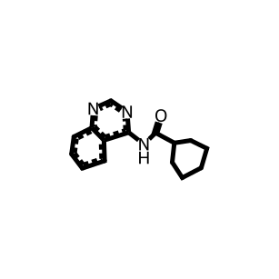 O=C(Nc1ncnc2ccccc12)C1CCCCC1